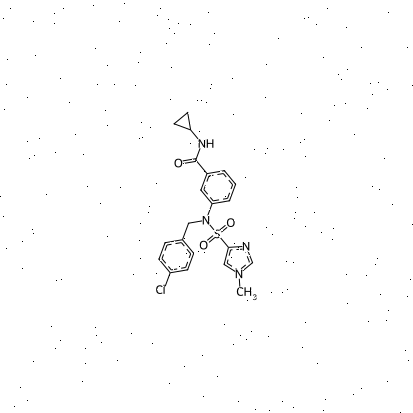 Cn1cnc(S(=O)(=O)N(Cc2ccc(Cl)cc2)c2cccc(C(=O)NC3CC3)c2)c1